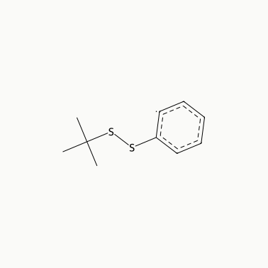 CC(C)(C)SSc1[c]cccc1